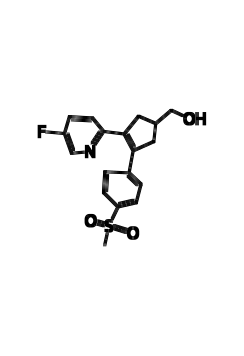 CS(=O)(=O)c1ccc(C2=C(c3ccc(F)cn3)CC(CO)C2)cc1